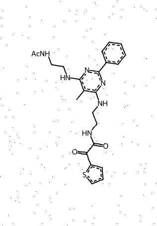 CC(=O)NCCNc1nc(-c2ccccc2)nc(NCCNC(=O)C(=O)c2cccs2)c1C